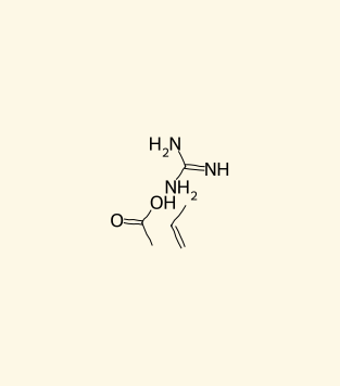 C=CC.CC(=O)O.N=C(N)N